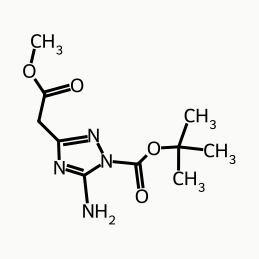 COC(=O)Cc1nc(N)n(C(=O)OC(C)(C)C)n1